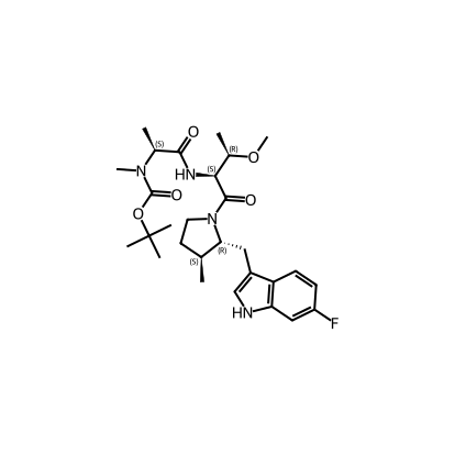 CO[C@H](C)[C@H](NC(=O)[C@H](C)N(C)C(=O)OC(C)(C)C)C(=O)N1CC[C@H](C)[C@H]1Cc1c[nH]c2cc(F)ccc12